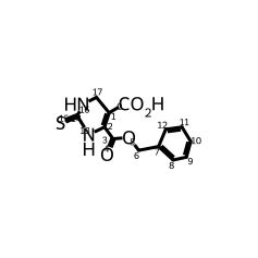 O=C(O)C1=C(C(=O)OCc2ccccc2)NC(=S)NC1